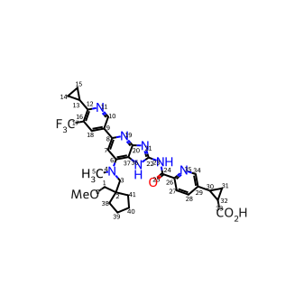 COCC1(CN(C)c2cc(-c3cnc(C4CC4)c(C(F)(F)F)c3)nc3nc(NC(=O)c4ccc(C5CC5C(=O)O)cn4)[nH]c23)CCCC1